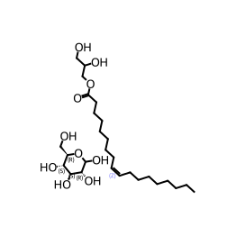 CCCCCCCC/C=C\CCCCCCCC(=O)OCC(O)CO.OC[C@H]1OC(O)[C@H](O)[C@@H](O)[C@@H]1O